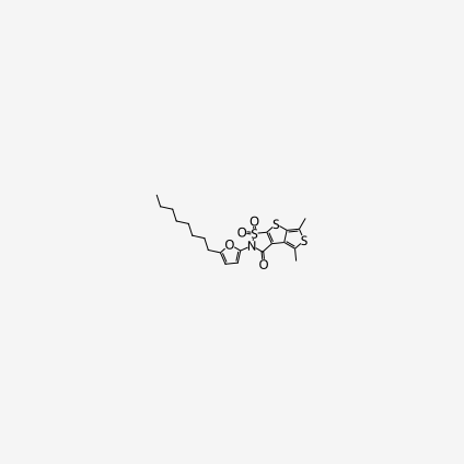 CCCCCCCCc1ccc(N2C(=O)c3c(sc4c(C)sc(C)c34)S2(=O)=O)o1